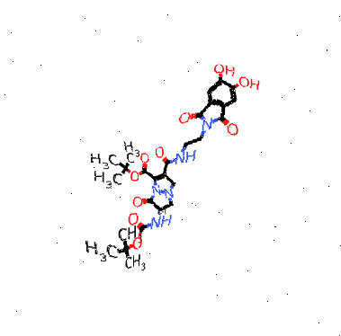 CC(C)(C)OC(=O)N[C@H]1CN2CC(C(=O)NCCN3C(=O)c4cc(O)c(O)cc4C3=O)=C(C(=O)OC(C)(C)C)N2C1=O